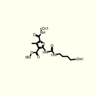 CCCCCCCCCCCCCCNC(=O)Nc1sc(C(=O)NCCCCCCCC)c(C)c1C(=O)OC(C)(C)C